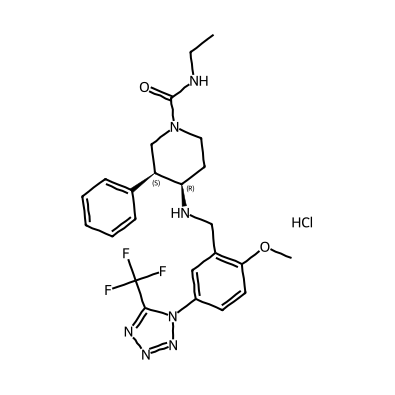 CCNC(=O)N1CC[C@@H](NCc2cc(-n3nnnc3C(F)(F)F)ccc2OC)[C@@H](c2ccccc2)C1.Cl